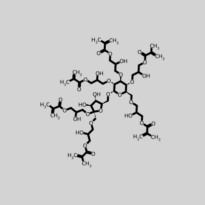 C=C(C)C(=O)OCC(O)COC[C@H]1O[C@H](OC[C@H]2O[C@@](COCC(O)COC(=O)C(=C)C)(OCC(O)COC(=O)C(=C)C)[C@@H](O)[C@@H]2O)[C@H](OCC(O)COC(=O)C(=C)C)[C@@H](OCC(O)COC(=O)C(=C)C)[C@@H]1OCC(O)COC(=O)C(=C)C